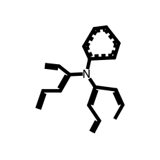 C=C/C=C(\C=C)N(C(/C=C\C)=C/C=C)c1ccccc1